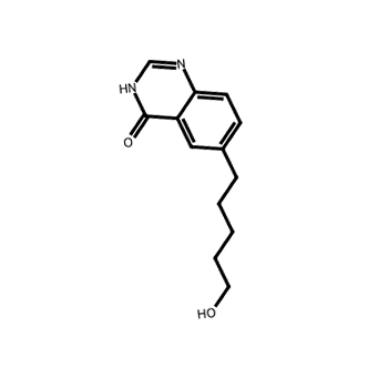 O=c1[nH]cnc2ccc(CCCCCO)cc12